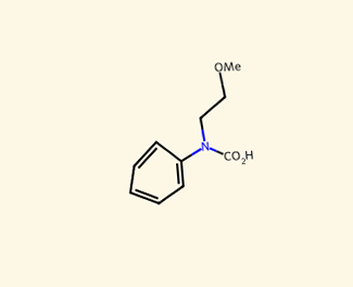 COCCN(C(=O)O)c1ccccc1